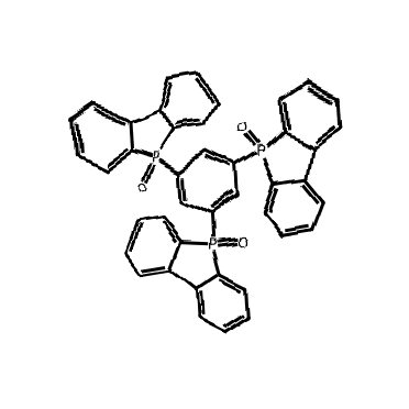 O=P1(c2cc(P3(=O)c4ccccc4-c4ccccc43)cc(P3(=O)c4ccccc4-c4ccccc43)c2)c2ccccc2-c2ccccc21